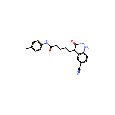 Cc1ccc(NC(=O)CCCCC(C(N)=O)c2cc(C#N)ccc2N)cc1